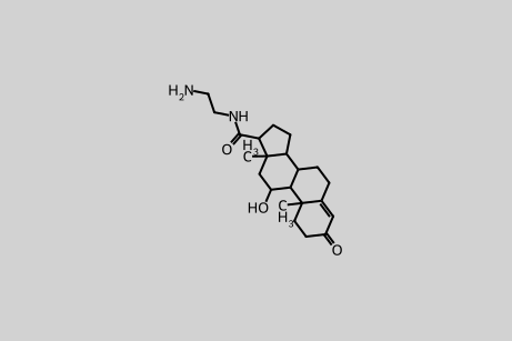 CC12CCC(=O)C=C1CCC1C2C(O)CC2(C)C(C(=O)NCCN)CCC12